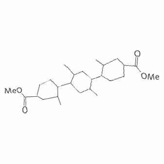 COC(=O)C1CCC(C2CC(C)C(C3CCC(C(=O)OC)CC3C)CC2C)C(C)C1